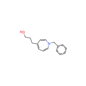 OCCCC1=CC=CN(Cc2ccccc2)C=C1